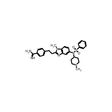 CN1CCC(N(c2ccc3c(c2)nc(CCc2ccc(C(=N)N)cc2)n3C)S(=O)(=O)c2ccccc2)CC1